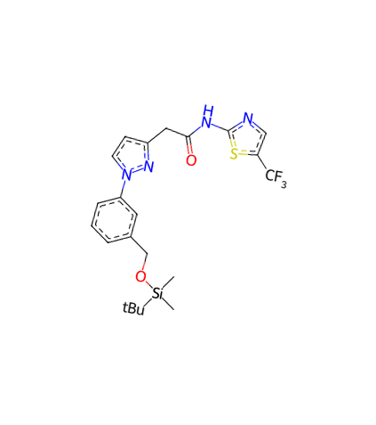 CC(C)(C)[Si](C)(C)OCc1cccc(-n2ccc(CC(=O)Nc3ncc(C(F)(F)F)s3)n2)c1